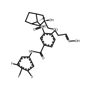 O=C(Nc1cc(F)c(F)c(F)c1)c1ccc(Cl)c(S(=O)(=O)[C@H]2C3CCC2C[C@](O)(COC/C=N/O)C3)c1